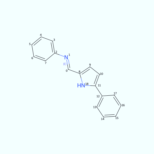 C(=N\c1ccccc1)/c1ccc(-c2ccccc2)[nH]1